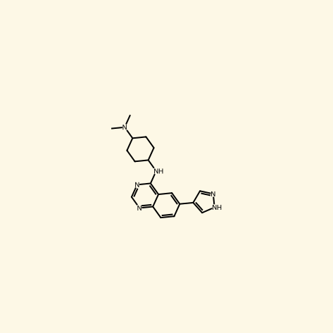 CN(C)C1CCC(Nc2ncnc3ccc(-c4cn[nH]c4)cc23)CC1